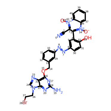 N#Cc1c(-c2cc(N=Nc3cccc(COc4nc(N)nc5c4ncn5CCBr)c3)ccc2O)[n+]([O-])c2ccccc2[n+]1[O-]